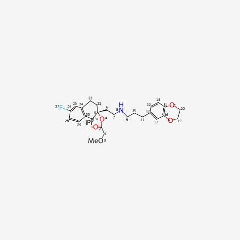 COCC(=O)O[C@@]1(CCNCCCc2ccc3c(c2)OCCO3)CCc2cc(F)ccc2[C@H]1C(C)C